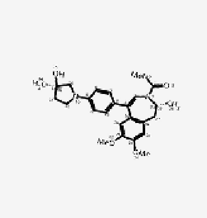 CNC(=O)N1C=C(c2ccc(N3CC[C@@](C)(O)C3)cc2)c2cc(OC)c(OC)cc2C[C@H]1C